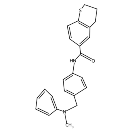 CN(Cc1ccc(NC(=O)c2ccc3c(c2)CCCS3)cc1)c1ccccc1